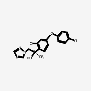 O[C@@](Cn1cncn1)(c1ccc(Oc2ccc(Cl)cc2)cc1Cl)C(F)(F)F